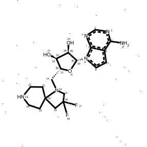 Nc1ncnc2c1ccn2[C@@H]1O[C@H](CN2CC(F)(F)CC23CCNCC3)[C@@H](O)[C@H]1O